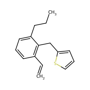 C=Cc1cccc(CCC)c1Cc1cccs1